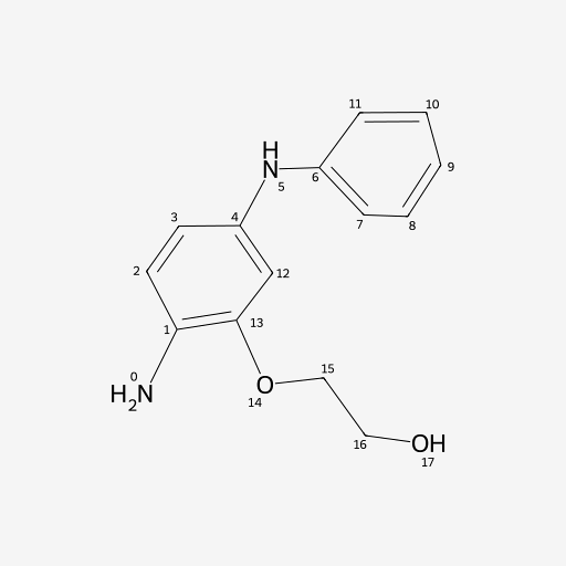 Nc1ccc(Nc2ccccc2)cc1OCCO